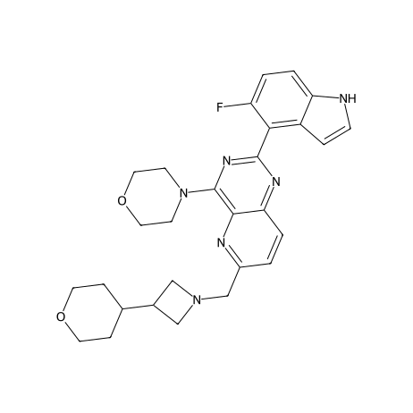 Fc1ccc2[nH]ccc2c1-c1nc(N2CCOCC2)c2nc(CN3CC(C4CCOCC4)C3)ccc2n1